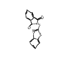 O=C1c2ccccc2C(=O)N1Sc1nc2ccccc2s1